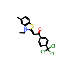 CCN1/C(=C/C(=O)c2ccc(C(Cl)(Cl)Cl)cc2)Sc2ccc(C)cc21